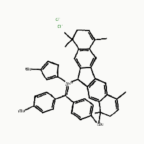 CC1=CCC(C)(C)c2cc3c(cc21)-c1cc2c(cc1[CH]3[Zr+2]([C]1=CC(C(C)(C)C)=CC1)=[C](c1ccc(C(C)(C)C)cc1)c1ccc(C(C)(C)C)cc1)C(C)(C)CC=C2C.[Cl-].[Cl-]